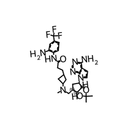 CN(C[C@H]1CC(n2ccc3c(N)ncnc32)[C@@H]2OC(C)(C)O[C@H]12)C1CC(CCC(=O)Nc2ccc(C(F)(F)F)cc2N)C1